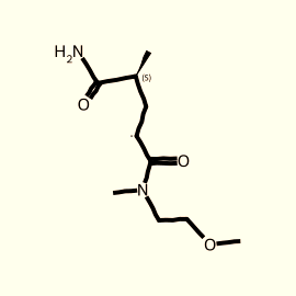 COCCN(C)C(=O)[CH]C[C@H](C)C(N)=O